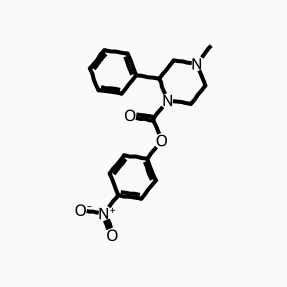 CN1CCN(C(=O)Oc2ccc([N+](=O)[O-])cc2)C(c2ccccc2)C1